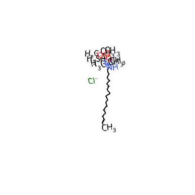 CCCCCCCCCCCCCCCCCCN[N+](C)(C)C([SiH3])(OC)C(C)(OC)OC.[Cl-]